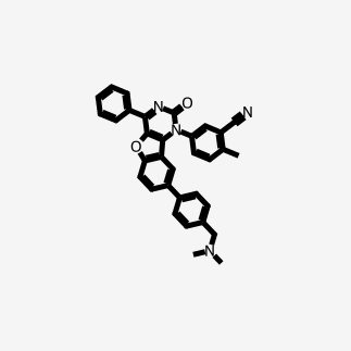 Cc1ccc(-n2c(=O)nc(-c3ccccc3)c3oc4ccc(-c5ccc(CN(C)C)cc5)cc4c32)cc1C#N